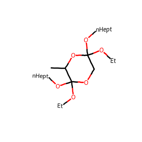 CCCCCCCOC1(OCC)COC(OCC)(OCCCCCCC)C(C)O1